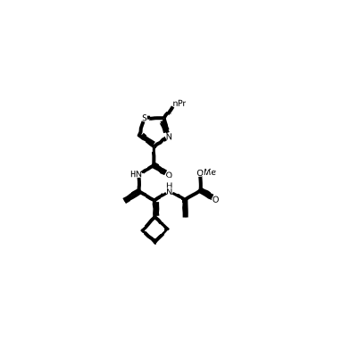 C=C(NC(C(=C)NC(=O)c1csc(CCC)n1)=C1CCC1)C(=O)OC